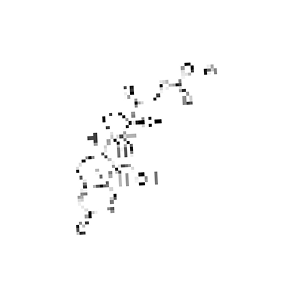 CC(C)OC(=O)OCC(=O)[C@@]1(O)CC[C@H]2[C@@H]3CCC4=CC(=O)C=C[C@]4(C)[C@H]3C(O)C[C@@]21C